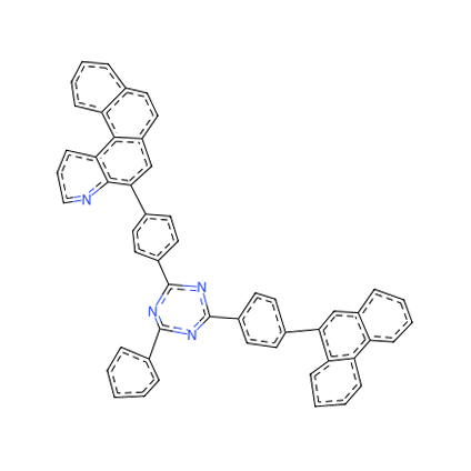 c1ccc(-c2nc(-c3ccc(-c4cc5ccccc5c5ccccc45)cc3)nc(-c3ccc(-c4cc5ccc6ccccc6c5c5cccnc45)cc3)n2)cc1